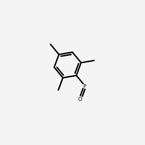 Cc1cc(C)c(P=O)c(C)c1